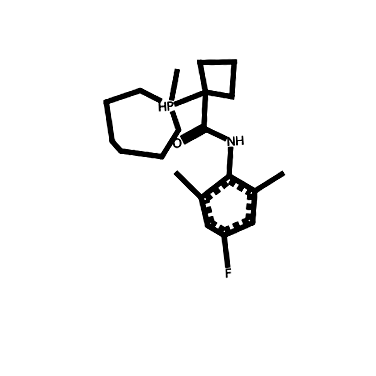 Cc1cc(F)cc(C)c1NC(=O)C1([PH]2(C)CCCCCC2)CCC1